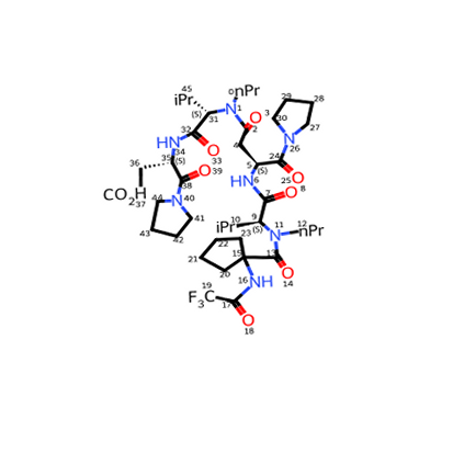 CCCN(C(=O)C[C@H](NC(=O)[C@H](C(C)C)N(CCC)C(=O)C1(NC(=O)C(F)(F)F)CCCC1)C(=O)N1CCCC1)[C@H](C(=O)N[C@@H](CC(=O)O)C(=O)N1CCCC1)C(C)C